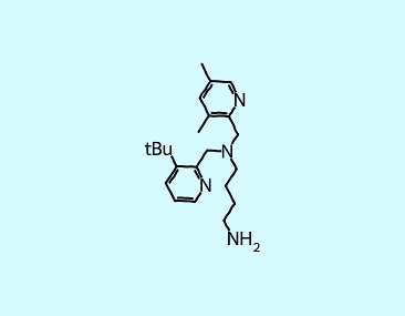 Cc1cnc(CN(CCCCN)Cc2ncccc2C(C)(C)C)c(C)c1